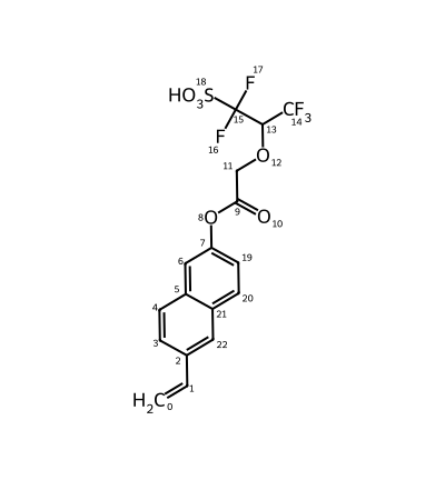 C=Cc1ccc2cc(OC(=O)COC(C(F)(F)F)C(F)(F)S(=O)(=O)O)ccc2c1